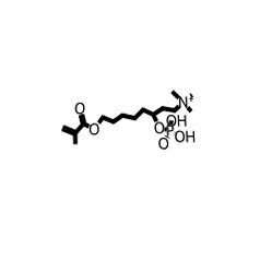 C=C(C)C(=O)OCCCCCC(CC[N+](C)(C)C)OP(=O)(O)O